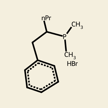 Br.CCCC(Cc1ccccc1)P(C)C